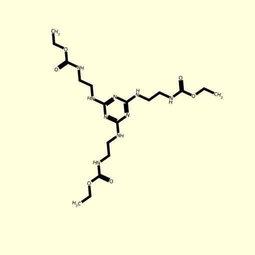 CCOC(=O)NCCNc1nc(NCCNC(=O)OCC)nc(NCCNC(=O)OCC)n1